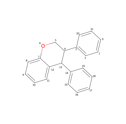 c1ccc(C2COc3ccccc3C2c2ccccc2)cc1